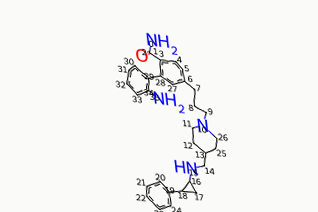 NC(=O)c1ccc(CCCN2CCC(CNC3CC3c3ccccc3)CC2)cc1-c1ccccc1N